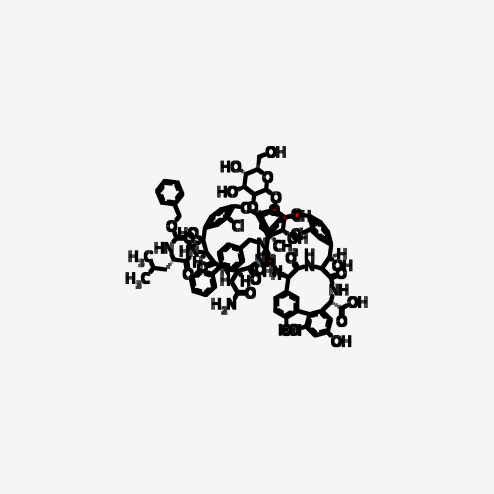 CC(C)C[C@H](NC(=O)OCc1ccccc1)C(=O)N[C@H]1C(=O)N[C@@H](CC(N)=O)C(=O)N[C@H]2C(=O)N[C@H]3C(=O)NC(C(=O)N[C@H](C(=O)O)c4cc(O)cc(O)c4-c4cc3ccc4O)[C@H](O)c3ccc(c(Cl)c3)Oc3cc2cc(c3OC2O[C@H](CO)[C@@H](O)[C@H](O)C2O[C@H]2C[C@](C)(NCc3ccc(-c4ccccc4)cc3)[C@H](O)[C@H](C)O2)Oc2ccc(cc2Cl)[C@H]1O